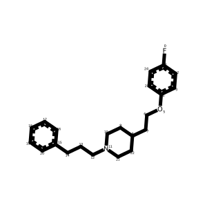 Fc1ccc(OCCC2CCN(CCCc3ccccc3)CC2)cc1